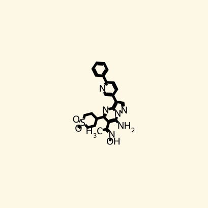 CC(=NO)c1c(C2CCS(=O)(=O)CC2)nc2c(-c3ccc(-c4ccccc4)nc3)cnn2c1N